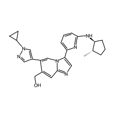 C[C@H]1CCC[C@@H]1Nc1cccc(-c2cnc3cc(CO)c(-c4cnn(C5CC5)c4)cn23)n1